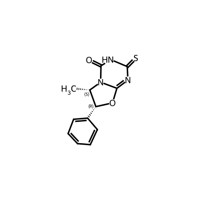 C[C@H]1[C@@H](c2ccccc2)Oc2nc(=S)[nH]c(=O)n21